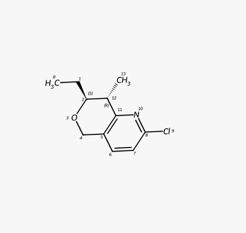 CC[C@@H]1OCc2ccc(Cl)nc2[C@H]1C